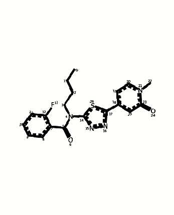 CCCCN(C(=O)c1ccccc1F)c1nnc(-c2ccn(C)c(=O)c2)s1